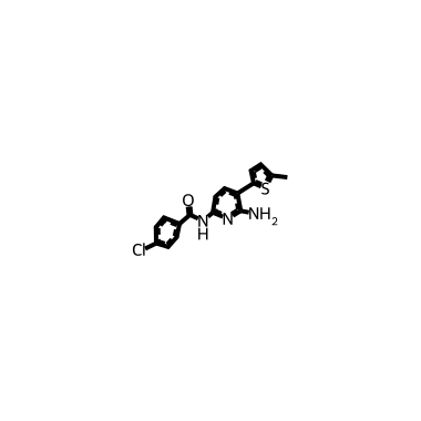 Cc1ccc(-c2ccc(NC(=O)c3ccc(Cl)cc3)nc2N)s1